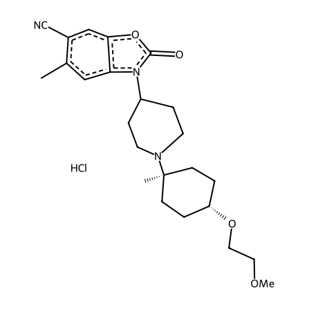 COCCO[C@H]1CC[C@](C)(N2CCC(n3c(=O)oc4cc(C#N)c(C)cc43)CC2)CC1.Cl